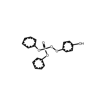 O=P(OOc1ccc(O)cc1)(Oc1ccccc1)Oc1ccccc1